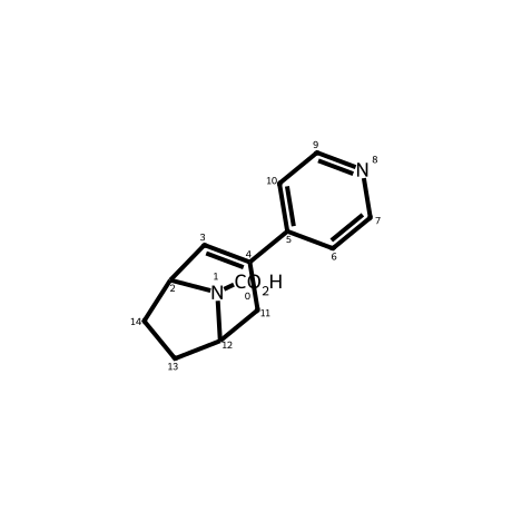 O=C(O)N1C2C=C(c3ccncc3)CC1CC2